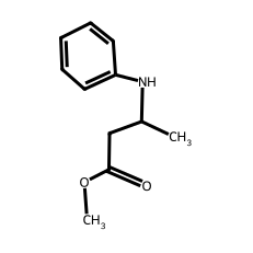 COC(=O)CC(C)Nc1ccccc1